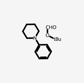 CC(C)(C)OC=O.c1ccc(N2CCCCC2)cc1